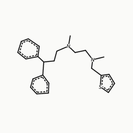 CN(CCC(c1ccccc1)c1ccccc1)CCN(C)Cc1cccs1